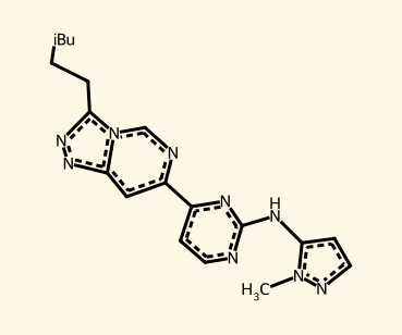 CCC(C)CCc1nnc2cc(-c3ccnc(Nc4ccnn4C)n3)ncn12